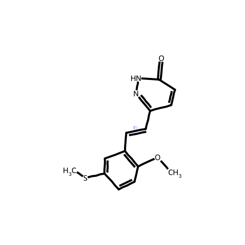 COc1ccc(SC)cc1/C=C/c1ccc(=O)[nH]n1